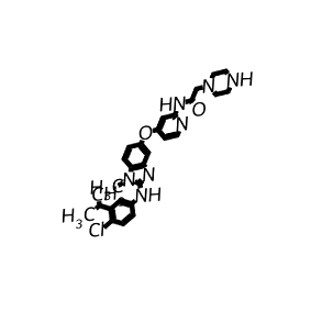 CC(C)c1cc(Nc2nc3cc(Oc4ccnc(NC(=O)CN5CCNCC5)c4)ccc3n2C)ccc1Cl